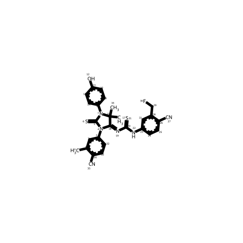 Cc1cc(N2C(=S)N(c3ccc(O)cc3)C(C)(C)C2=NC(=S)Nc2ccc(C#N)c(CF)c2)ccc1C#N